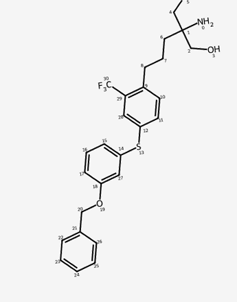 NC(CO)(CO)CCCc1ccc(Sc2cccc(OCc3ccccc3)c2)cc1C(F)(F)F